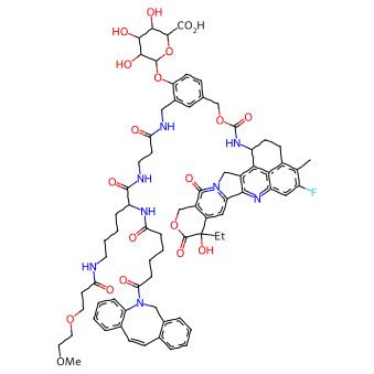 CCC1(O)C(=O)OCc2c1cc1n(c2=O)Cc2c-1nc1cc(F)c(C)c3c1c2C(NC(=O)OCc1ccc(OC2OC(C(=O)O)C(O)C(O)C2O)c(CNC(=O)CCNC(=O)C(CCCCNC(=O)CCOCCOC)NC(=O)CCCCC(=O)N2Cc4ccccc4/C=C\c4ccccc42)c1)CC3